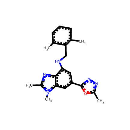 Cc1nnc(-c2cc(NCc3c(C)cccc3C)c3nc(C)n(C)c3c2)o1